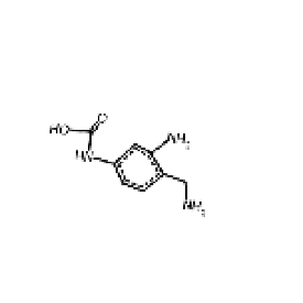 NCc1ccc(NC(=O)O)cc1N